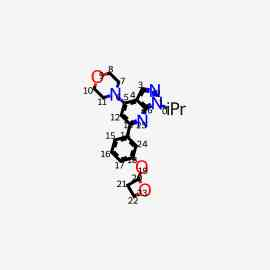 CC(C)n1ncc2c(N3CCOCC3)cc(-c3cccc(OC4CCO4)c3)nc21